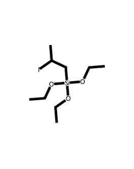 CCO[Si](CC(C)I)(OCC)OCC